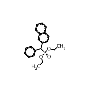 CCOP(=O)(OCC)C(c1ccccc1)c1ccc2ccccc2c1